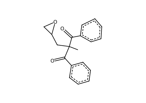 CC(CC1CO1)(C(=O)c1ccccc1)C(=O)c1ccccc1